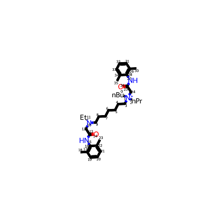 CCCC[N+](CCC)(CCCCCCCN(CC)CC(=O)Nc1c(C)cccc1C)CC(=O)Nc1c(C)cccc1C